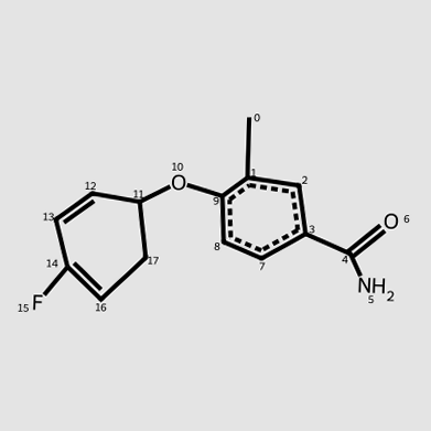 Cc1cc(C(N)=O)ccc1OC1C=CC(F)=CC1